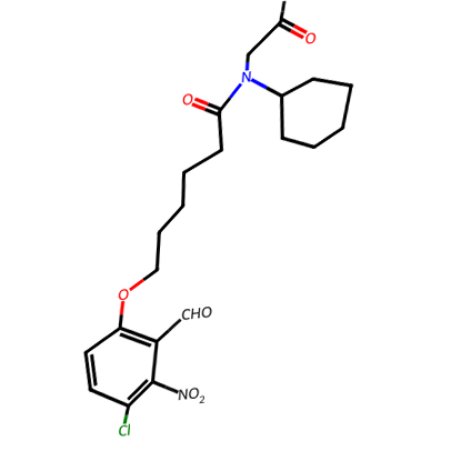 COC(=O)CN(C(=O)CCCCCOc1ccc(Cl)c([N+](=O)[O-])c1C=O)C1CCCCC1